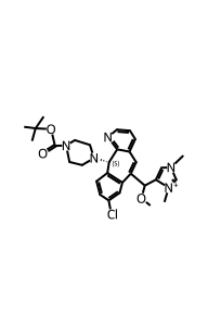 COC(C1=Cc2cccnc2[C@@H](N2CCN(C(=O)OC(C)(C)C)CC2)c2ccc(Cl)cc21)c1cn(C)c[n+]1C